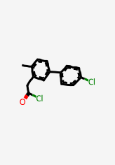 Cc1ccc(-c2ccc(Cl)cc2)cc1CC(=O)Cl